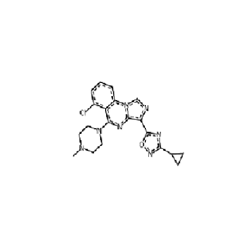 CN1CCN(c2nc3c(-c4nc(C5CC5)no4)ncn3c3cccc(Cl)c23)CC1